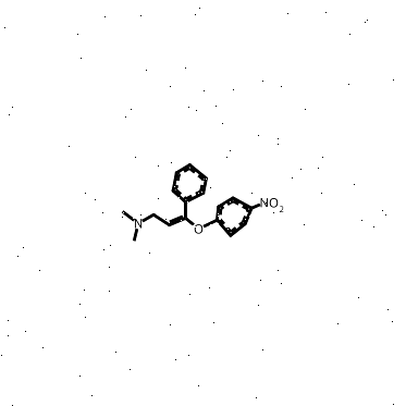 CN(C)CC=C(Oc1ccc([N+](=O)[O-])cc1)c1ccccc1